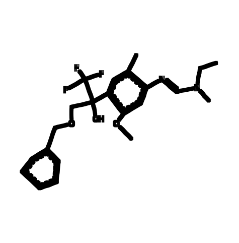 CCN(C)C=Nc1cc(OC)c(C(O)(COCc2ccccc2)C(F)(F)F)cc1C